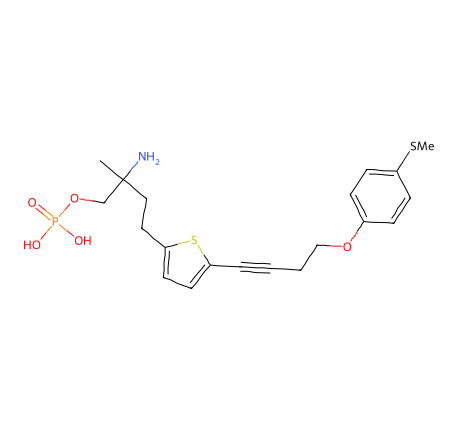 CSc1ccc(OCCC#Cc2ccc(CCC(C)(N)COP(=O)(O)O)s2)cc1